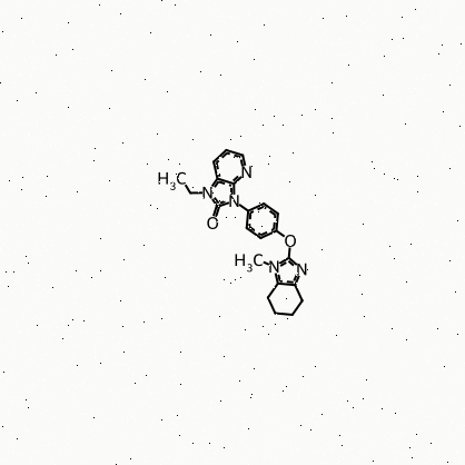 CCn1c(=O)n(-c2ccc(Oc3nc4c(n3C)CCCC4)cc2)c2ncccc21